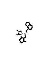 Cn1nnn(-c2cccc(F)c2CON=Cc2cccc3c2CCC3)c1=O